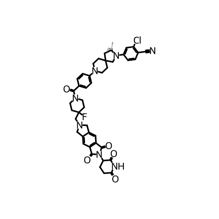 C[C@H]1CC2(CCN(c3ccc(C(=O)N4CCC(F)(CN5Cc6cc7c(cc6C5)C(=O)N(C5CCC(=O)NC5=O)C7=O)CC4)cc3)CC2)CN1c1ccc(C#N)c(Cl)c1